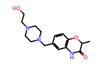 CC1Oc2ccc(CN3CCN(CCO)CC3)cc2NC1=O